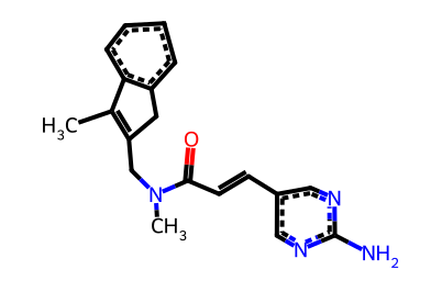 CC1=C(CN(C)C(=O)C=Cc2cnc(N)nc2)Cc2ccccc21